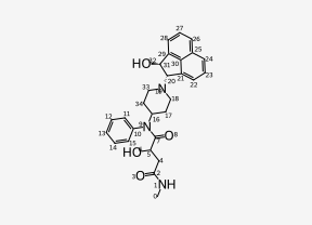 CNC(=O)CC(O)C(=O)N(c1ccccc1)C1CCN([C@H]2c3cccc4cccc(c34)[C@@H]2O)CC1